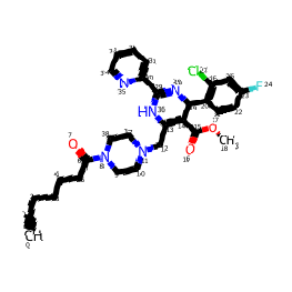 C#CCCCCC(=O)N1CCN(CC2=C(C(=O)OC)C(c3ccc(F)cc3Cl)N=C(c3ccccn3)N2)CC1